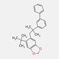 CC(C)(C)c1cc2c(cc1CC(C)(C)c1cccc(-c3ccccc3)c1)OCO2